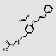 O=C(O)CCNCCc1ccc(OC/C=C/c2ccccc2)cc1.O=CO